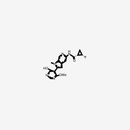 COc1ncnc(O)c1-c1cc2cc(NC(=O)[C@@H]3C[C@@H]3F)ncc2n1C